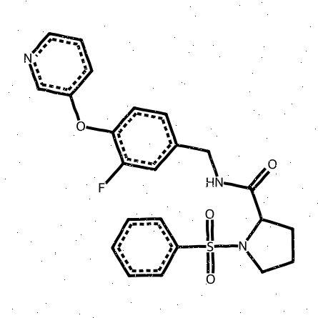 O=C(NCc1ccc(Oc2cccnc2)c(F)c1)C1CCCN1S(=O)(=O)c1ccccc1